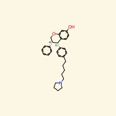 Oc1ccc2c(c1)OC[C@@H](c1ccccc1)[C@H]2c1ccc(CCCCCN2CCCC2)cc1